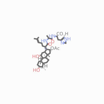 CC(=O)O[C@H]1C[C@@]2(C)C(C[C@@H](O)[C@H]3[C@@]4(C)CC[C@@H](O)[C@@H](C)[C@@H]4CC[C@@]32C)/C1=C(\CCC=C(C)C)C(=O)NC(C)C(=O)NC(Cc1c[nH]cn1)C(=O)O